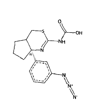 [N-]=[N+]=Nc1cccc([C@]23CCCC2CSC(NC(=O)O)=N3)c1